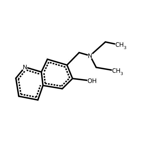 CCN(CC)Cc1cc2ncccc2cc1O